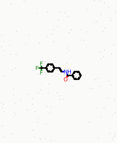 O=C(NC=Cc1ccc(C(F)(F)F)cc1)c1ccccc1